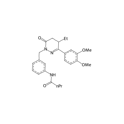 CCCC(=O)Nc1cccc(CN2N=C(c3ccc(OC)c(OC)c3)C(CC)CC2=O)c1